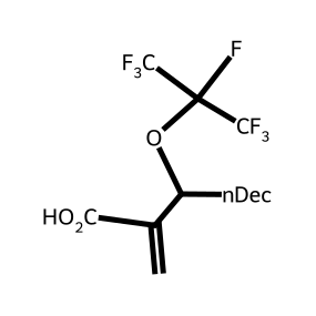 C=C(C(=O)O)C(CCCCCCCCCC)OC(F)(C(F)(F)F)C(F)(F)F